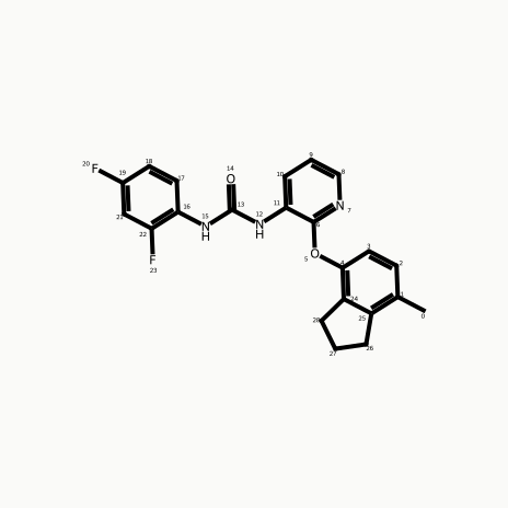 Cc1ccc(Oc2ncccc2NC(=O)Nc2ccc(F)cc2F)c2c1CCC2